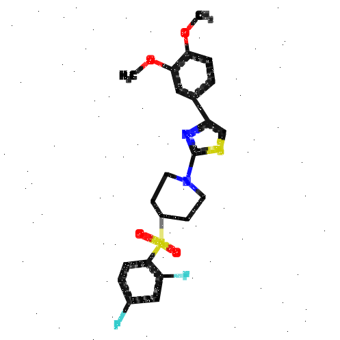 COc1ccc(-c2csc(N3CCC(S(=O)(=O)c4ccc(F)cc4F)CC3)n2)cc1OC